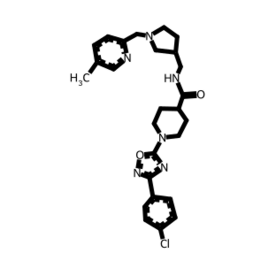 Cc1ccc(CN2CCC(CNC(=O)C3CCN(c4nc(-c5ccc(Cl)cc5)no4)CC3)C2)nc1